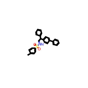 Cc1ccc(S(=O)(=O)NCC(c2ccccc2)c2ccc(-c3ccccc3)cc2)cc1